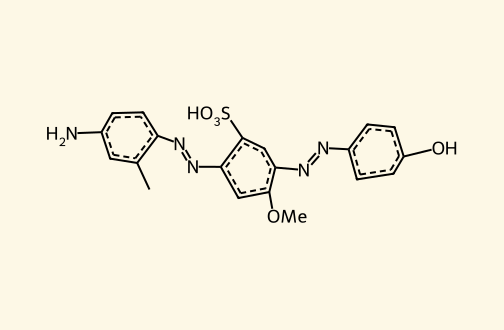 COc1cc(N=Nc2ccc(N)cc2C)c(S(=O)(=O)O)cc1N=Nc1ccc(O)cc1